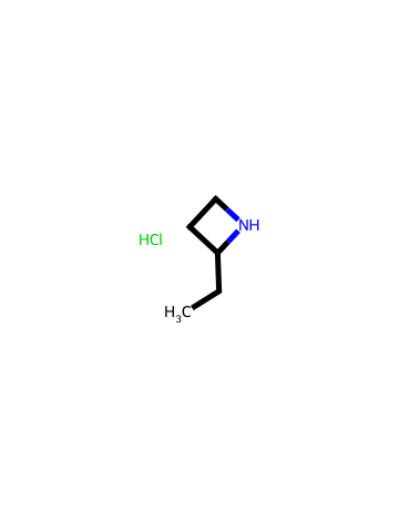 CCC1CCN1.Cl